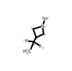 [2H]N1CC(C(C)(F)F)C1